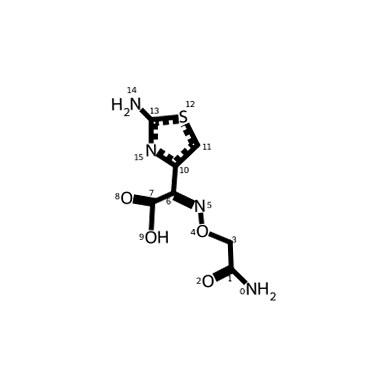 NC(=O)CON=C(C(=O)O)c1csc(N)n1